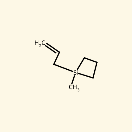 C=CC[Si]1(C)CCC1